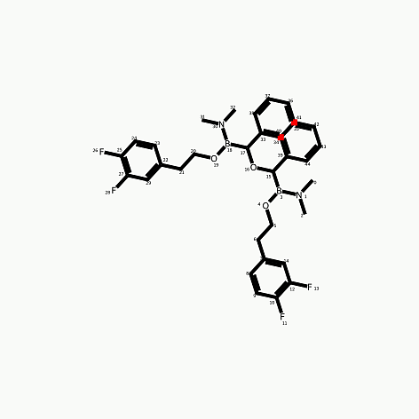 CN(C)B(OCCc1ccc(F)c(F)c1)C(OC(B(OCCc1ccc(F)c(F)c1)N(C)C)c1ccccc1)c1ccccc1